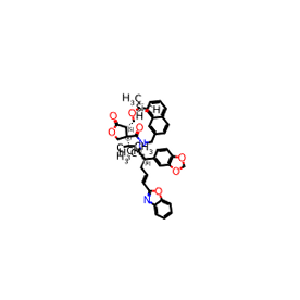 C[C@H]([C@H](CC=Cc1nc2ccccc2o1)c1ccc2c(c1)OCO2)N(Cc1ccc2ccccc2c1)C(=O)[C@@]1(C(C)(C)C)COC(=O)[C@@H]1CO[SiH](C)C